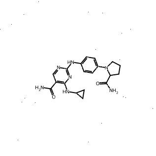 NC(=O)c1cnc(Nc2ccc(N3CCCC3C(N)=O)cc2)nc1NC1CC1